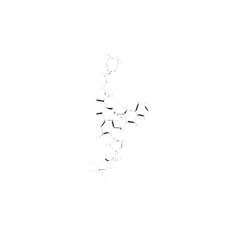 CC(C)(C)OC(=O)N[C@@H]1CCN(c2c(F)cc3c(=O)c(C(=O)NCCCN4CCOCC4)cn4c3c2Oc2cc3ccccc3cc2-4)C1